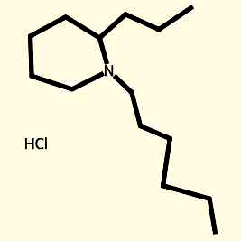 CCCCCCN1CCCCC1CCC.Cl